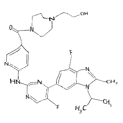 Cc1nc2c(F)cc(-c3nc(Nc4ccc(C(=O)N5CCN(CCO)CC5)cn4)ncc3F)cc2n1C(C)C